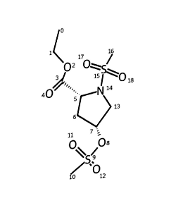 CCOC(=O)[C@H]1C[C@@H](OS(C)(=O)=O)CN1S(C)(=O)=O